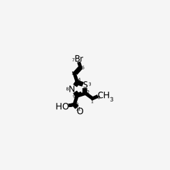 CCc1sc(C=CBr)nc1C(=O)O